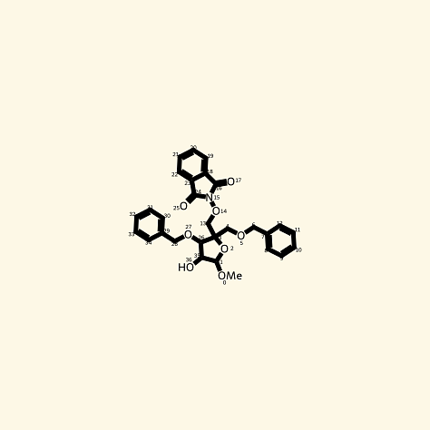 COC1OC(COCc2ccccc2)(CON2C(=O)c3ccccc3C2=O)C(OCc2ccccc2)C1O